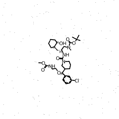 COC(=O)NCCO[C@@H](c1cccc(Cl)c1)C1CCCN(C(=O)N[C@H](C[C@H]2CCCC[C@@H]2O)CN(C)C(=O)OC(C)(C)C)C1